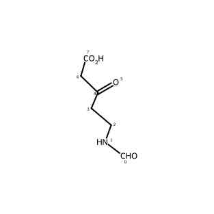 O=CNCCC(=O)CC(=O)O